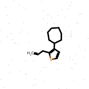 C=CCc1sccc1C1CCCCCC1